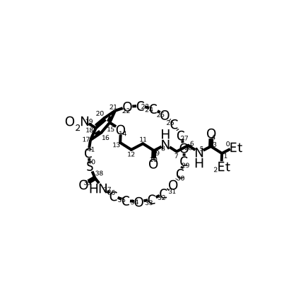 CCC(CC)C(=O)NCCNC(=O)CCCOc1cc2c([N+](=O)[O-])cc1OCCOCCOCCOCCOCCNC(=O)SC2